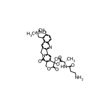 C[C@H](NC(=O)CCN)C(=O)O[C@]1(C)C(=O)OCc2c1cc1n(c2=O)Cc2cc3c(CN(C)C)c(O)ccc3nc2-1